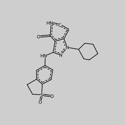 O=c1[nH]ccc2c1c(Nc1ccc3c(c1)CCS3(=O)=O)nn2C1CCCCC1